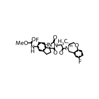 COC(=O)Nc1cc2c(cc1F)C1(CC2)NC(=O)N(CC(=O)N2Cc3cc(F)ccc3OC[C@H]2C)C1=O